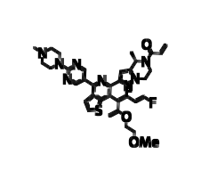 C=CC(=O)N1CCn2nc(-c3nc(-c4cnc(N5CCN(C)CC5)nc4)c4ccsc4c3/C(C(=C)OCCOC)=C(F)/C=C/F)cc2[C@H]1C